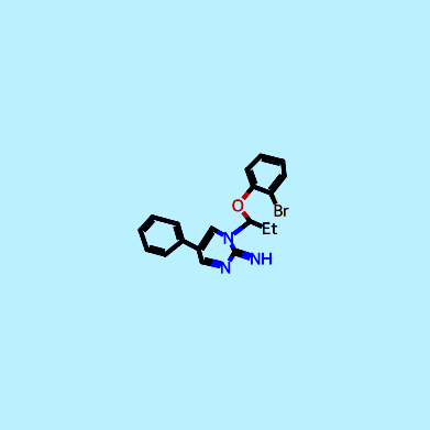 CCC(Oc1ccccc1Br)n1cc(-c2ccccc2)cnc1=N